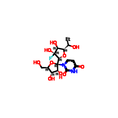 CCC(O)[C@@H]1O[C@H]([C@@]2(n3ccc(=O)[nH]c3=O)O[C@H](CO)[C@@H](O)[C@H]2O)[C@@](O)(F)[C@H]1O